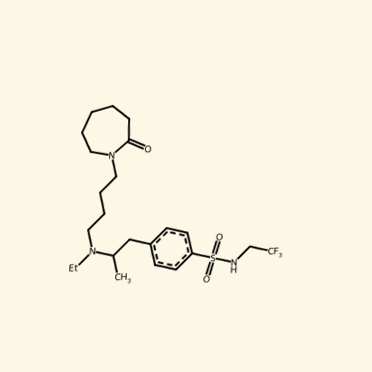 CCN(CCCCN1CCCCCC1=O)C(C)Cc1ccc(S(=O)(=O)NCC(F)(F)F)cc1